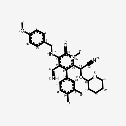 COc1ccc(CNc2c(C=N)c(-c3ccc(C)c(C)c3)c(C(C#N)OC3CCCCO3)n(C)c2=O)cc1